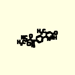 Cc1cc(=O)[nH]nc1-c1ccc(NC(=O)C(C)(C)C#N)cc1